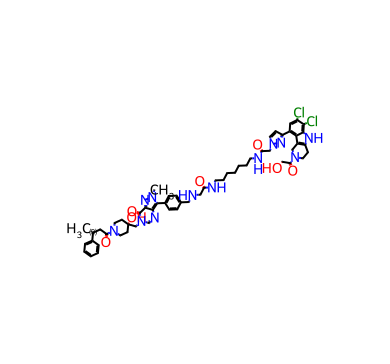 C[C@H](CC(=O)N1CCC(O)(Cn2cnc3c(-c4ccc(CNCC(=O)NCCCCCCCNC(=O)Cn5ccc(-c6cc(Cl)c(Cl)c7[nH]c8c(c67)CN(C(=O)CO)CC8)n5)cc4)n(C)nc3c2=O)CC1)c1ccccc1